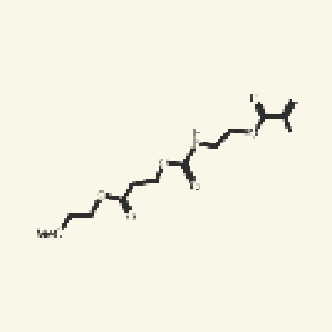 C=C(C)C(=O)OCCNC(=O)OCCC(=O)OCCOC